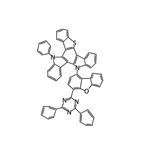 c1ccc(-c2nc(-c3ccccc3)nc(-c3ccc(-n4c5ccccc5c5c6sc7ccccc7c6c6c(c7ccccc7n6-c6ccccc6)c54)c4c3oc3ccccc34)n2)cc1